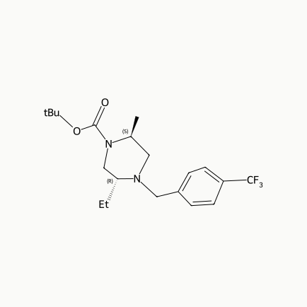 CC[C@@H]1CN(C(=O)OC(C)(C)C)[C@@H](C)CN1Cc1ccc(C(F)(F)F)cc1